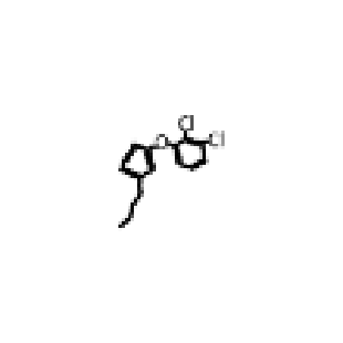 CCCCc1cc[c]c(Oc2cccc(Cl)c2Cl)c1